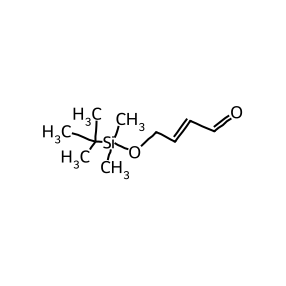 CC(C)(C)[Si](C)(C)OCC=CC=O